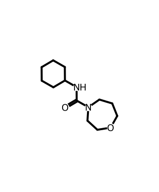 O=C(NC1CCCCC1)N1CCCOCC1